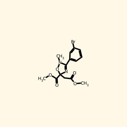 COC(=O)CC1(C(=O)OC)N=C(c2cccc(Br)c2)N(C)O1